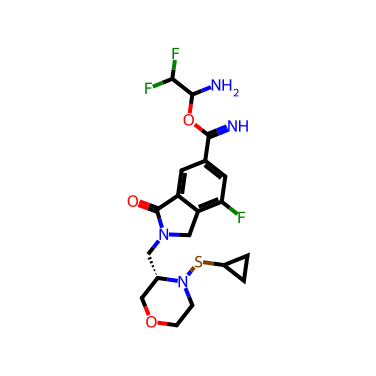 N=C(OC(N)C(F)F)c1cc(F)c2c(c1)C(=O)N(C[C@H]1COCCN1SC1CC1)C2